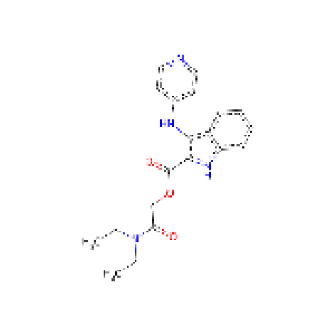 CCN(CC)C(=O)COC(=O)c1[nH]c2ccccc2c1Nc1ccncc1